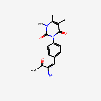 COC(=O)/C(N)=C\c1ccc(-n2c(=O)c(C)c(C)n(C(C)C)c2=O)cc1